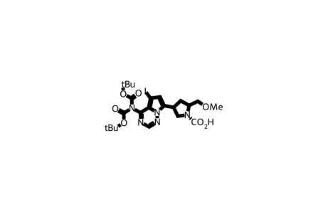 COCC1CC(c2cc(I)c3c(N(C(=O)OC(C)(C)C)C(=O)OC(C)(C)C)ncnn23)CN1C(=O)O